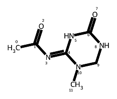 CC(=O)N=C1NC(=O)NCN1C